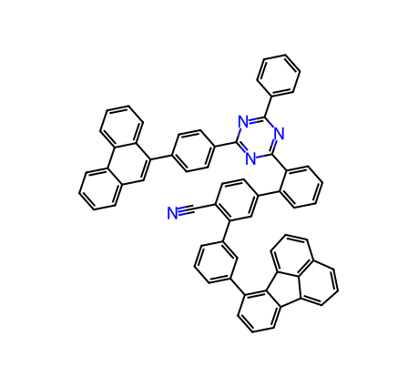 N#Cc1ccc(-c2ccccc2-c2nc(-c3ccccc3)nc(-c3ccc(-c4cc5ccccc5c5ccccc45)cc3)n2)cc1-c1cccc(-c2cccc3c2-c2cccc4cccc-3c24)c1